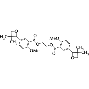 COc1ccc(C2OCC2(C)C)cc1C(=O)OCCOC(=O)c1cc(C2OCC2(C)C)ccc1OC